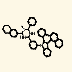 CN1C(c2ccccc2)NC(c2cccc(-n3c4ccccc4c4c5c6ccccc6ccc5c5ccccc5c43)c2)NC1c1ccc2c(c1)CCC=C2